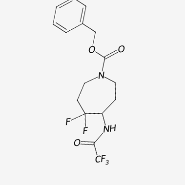 O=C(OCc1ccccc1)N1CCC(NC(=O)C(F)(F)F)C(F)(F)CC1